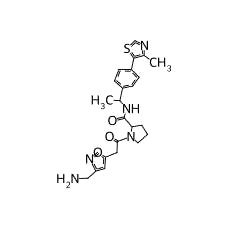 Cc1ncsc1-c1ccc(C(C)NC(=O)C2CCCN2C(=O)Cc2cc(CN)no2)cc1